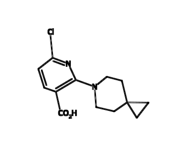 O=C(O)c1ccc(Cl)nc1N1CCC2(CC1)CC2